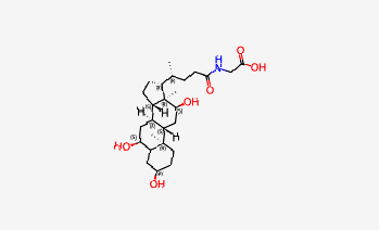 C[C@H](CCC(=O)NCC(=O)O)[C@H]1CC[C@H]2[C@@H]3C[C@H](O)C4C[C@H](O)CC[C@]4(C)[C@H]3C[C@H](O)[C@]12C